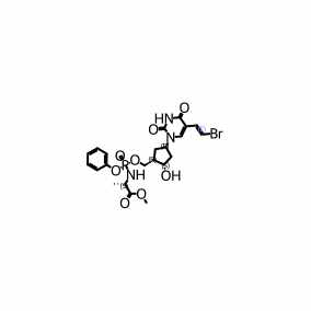 COC(=O)[C@H](C)NP(=O)(OC[C@H]1C[C@@H](n2cc(/C=C/Br)c(=O)[nH]c2=O)C[C@@H]1O)Oc1ccccc1